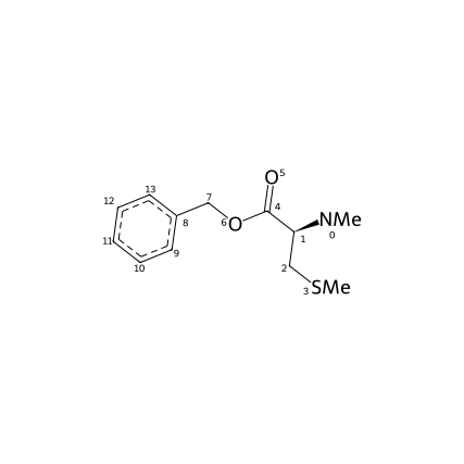 CN[C@@H](CSC)C(=O)OCc1ccccc1